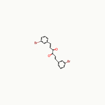 O=C(C=Cc1cccc(Br)c1)C(=O)C=Cc1cccc(Br)c1